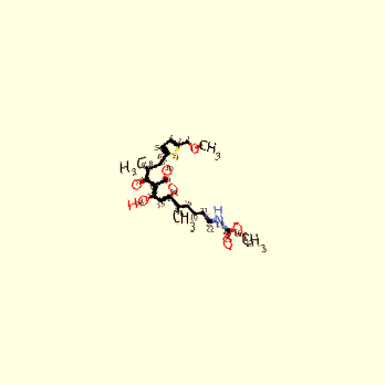 COCc1ccc(CC(C)C(=O)c2c(O)cc(C(C)CC/C=C/NC(=O)OC)oc2=O)s1